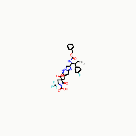 CCC(c1ccc(F)cc1)C(NC(=O)OCc1ccccc1)c1cn2ncc(CC3(C(=O)O)C[C@@H](C(F)(F)F)N(C(=O)O)C3=O)cc2n1